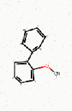 N#COc1ccccc1-c1ccccc1